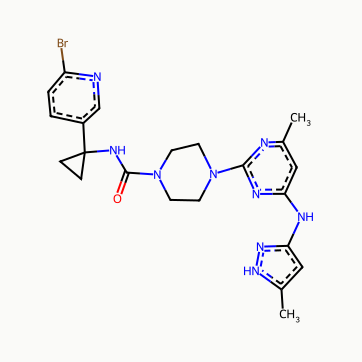 Cc1cc(Nc2cc(C)[nH]n2)nc(N2CCN(C(=O)NC3(c4ccc(Br)nc4)CC3)CC2)n1